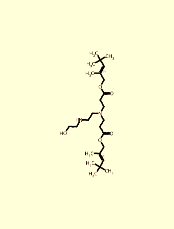 C/C(=C\C(C)(C)C)COC(=O)CCN(CCNCCO)CCC(=O)OC/C(C)=C/C(C)(C)C